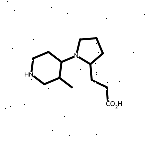 CC1CNCCC1N1CCCC1CCC(=O)O